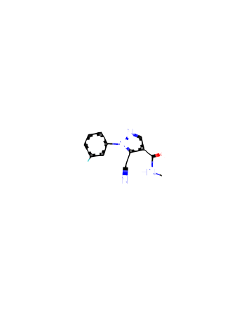 CNC(=O)c1cnn(-c2cccc(F)c2)c1C#N